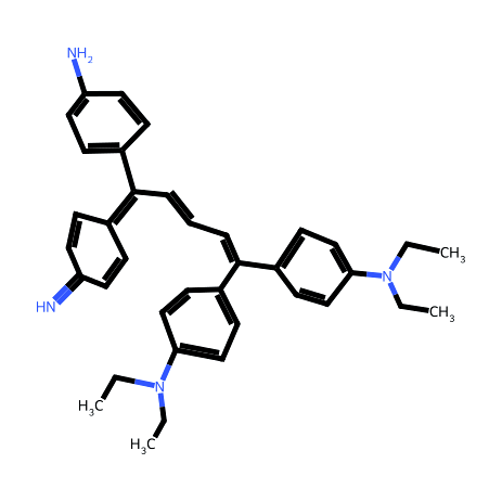 CCN(CC)c1ccc(C(=CC=CC(=C2C=CC(=N)C=C2)c2ccc(N)cc2)c2ccc(N(CC)CC)cc2)cc1